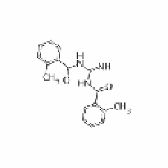 Cc1ccccc1C(=O)NC(=N)NC(=O)c1ccccc1C